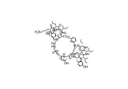 CCC[C@H](NC(=O)[C@@H](NC(=O)[C@@H](NC(=O)[C@H](Cc1ccc(O)cc1)NC(=O)[C@@H]1CSCc2cccc(n2)CSC[C@H](NC(=O)[C@@H](NC(=O)[C@H](CCC)NC(=O)[C@H](CCCCN)NC(C)=O)[C@@H](C)CC)C(=O)N[C@@H](Cc2ccc(O)cc2)C(=O)NCC(=O)NCC(=O)N[C@@H](CC(=O)O)C(=O)N1)[C@@H](C)CC)[C@@H](C)CC)C(N)=O